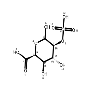 O=C(O)[C@H]1OC(O)[C@@H](OS(=O)(=O)O)[C@H](O)[C@H]1O